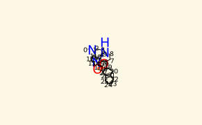 CN1CCC2(CCCCN2)c2c1ccn2S(=O)(=O)c1ccc2ccccc2c1